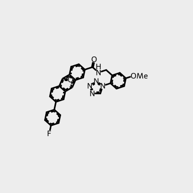 COc1ccc(-n2cnnn2)c(CNC(=O)c2ccc3c(c2)c2oc3c3ccc(-c4ccc(F)cc4)cc32)c1